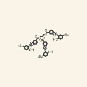 CC(C)(C)c1ccc(O)c(-n2n3c4ccc(C(=O)OCC(COC(=O)c5ccc6c(c5)n5n(-c7cc(C(C)(C)C)ccc7O)n65)OC(=O)c5ccc6c(c5)n5n(-c7cc(C(C)(C)C)ccc7O)n65)cc4n23)c1